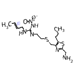 C/C=C/CNC(=NCCSCc1nc(CN)sc1CCC)N[N+](=O)[O-]